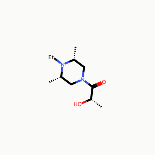 CCN1[C@H](C)CN(C(=O)[C@H](C)O)C[C@@H]1C